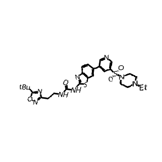 CCN1CCN(S(=O)(=O)c2cncc(-c3ccc4nc(NC(=O)NCCc5noc(C(C)(C)C)n5)sc4c3)c2)CC1